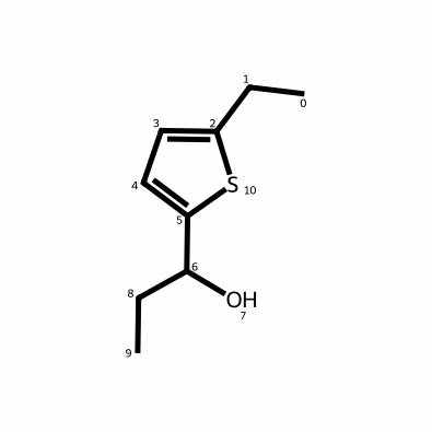 CCc1ccc(C(O)CC)s1